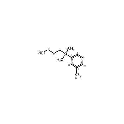 C[Si](C)(CCCC#N)c1cccc(C(F)(F)F)c1